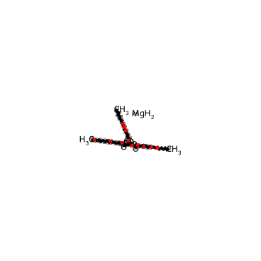 CCCCCCCCCCCCCCCCCC(=O)OCC(COC(=O)CCCCCCCCCCCCCCCCC)OC(=O)CCCCCCCCCCCCCCCCC.[MgH2]